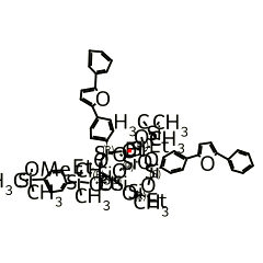 CC[Si@]1(C)O[Si@@]2(CC)O[Si@@](CC)(O[Si](C)(C)c3ccc([Si](C)(C)OC)cc3)O[Si@]3(c4ccc(-c5ccc(-c6ccccc6)o5)cc4)O[Si@](CC)(O[Si](C)(C)C)O[Si@](c4ccc(-c5ccc(-c6ccccc6)o5)cc4)(O1)O[Si@@](CC)(O2)O3